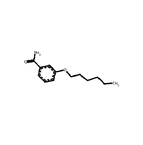 CCCCCCOc1cccc(C(N)=O)c1